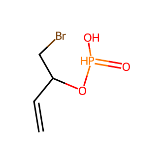 C=CC(CBr)O[PH](=O)O